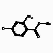 CC(C)(C)OC(=O)c1ccc(Cl)cc1N